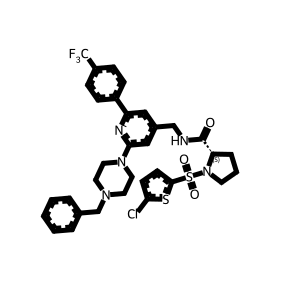 O=C(NCc1cc(-c2ccc(C(F)(F)F)cc2)nc(N2CCN(Cc3ccccc3)CC2)c1)[C@@H]1CCCN1S(=O)(=O)c1ccc(Cl)s1